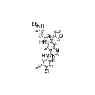 C#Cc1cc(Nc2ncnc3cc(OC4CCOC4)c(NC(=O)/C=C/CNCC)cc23)c(F)cc1Cl